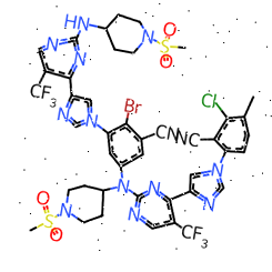 Cc1ccc(-n2cnc(-c3nc(N(c4cc(C#N)c(Br)c(-n5cnc(-c6nc(NC7CCN(S(C)(=O)=O)CC7)ncc6C(F)(F)F)c5)c4)C4CCN(S(C)(=O)=O)CC4)ncc3C(F)(F)F)c2)c(C#N)c1Cl